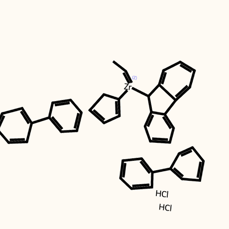 C/[CH]=[Zr](\[C]1=CC=CC1)[CH]1c2ccccc2-c2ccccc21.Cl.Cl.c1ccc(-c2ccccc2)cc1.c1ccc(-c2ccccc2)cc1